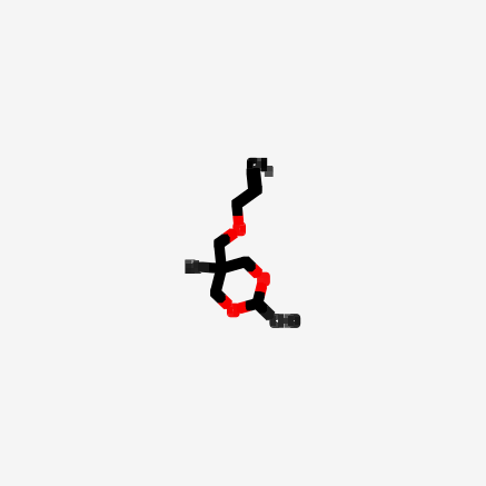 C=CCOCC1(CC)COC(C=O)OC1